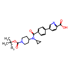 CC(C)(C)OC(=O)N1CCC(N(C(=O)c2ccc(-c3ccc(C(=O)O)nc3)cc2)C2CC2)CC1